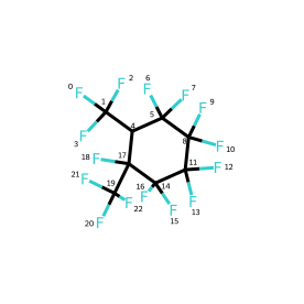 FC(F)(F)C1C(F)(F)C(F)(F)C(F)(F)C(F)(F)C1(F)C(F)(F)F